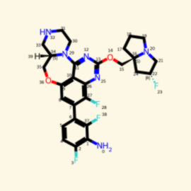 Nc1c(F)ccc(-c2cc3c4c(nc(OC[C@@]56CCCN5C[C@H](F)C6)nc4c2F)N2CCNC[C@H]2CO3)c1F